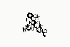 C=CC(=O)N1CCN2C(=O)c3c(N4CCC(N(C)C)C4(C)C)nc(-c4c(O)cccc4F)c(Cl)c3OC[C@H]2C1